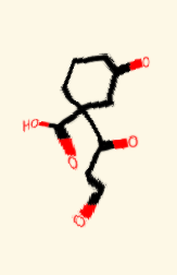 O=CCC(=O)C1(C(=O)O)CCCC(=O)C1